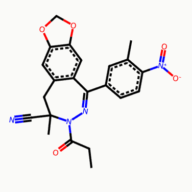 CCC(=O)N1N=C(c2ccc([N+](=O)[O-])c(C)c2)c2cc3c(cc2CC1(C)C#N)OCO3